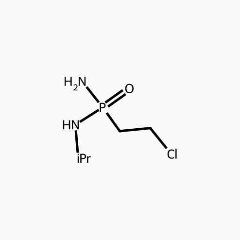 CC(C)NP(N)(=O)CCCl